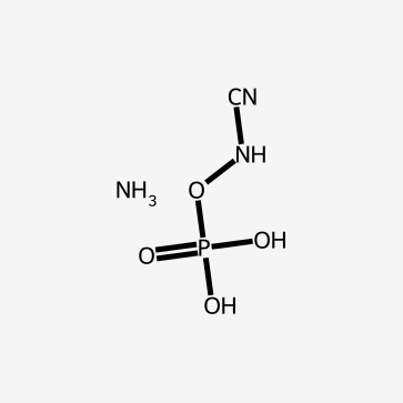 N.N#CNOP(=O)(O)O